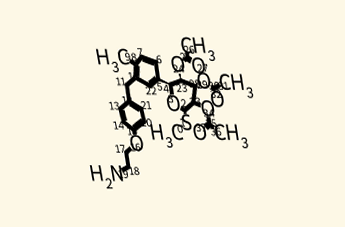 CS[C@H]1O[C@@H](c2ccc(C)c(Cc3ccc(OCCN)cc3)c2)[C@H](OC(C)=O)[C@H](OC(C)=O)C1OC(C)=O